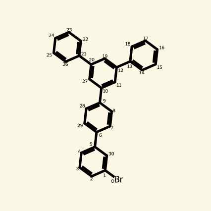 Brc1cccc(-c2ccc(-c3cc(-c4ccccc4)cc(-c4ccccc4)c3)cc2)c1